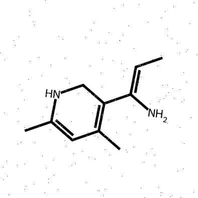 C/C=C(\N)C1=C(C)C=C(C)NC1